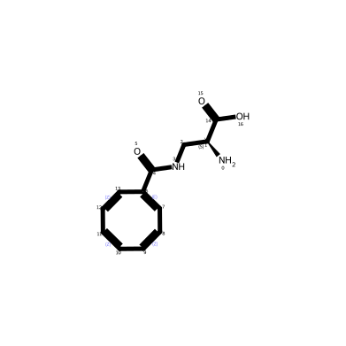 N[C@@H](CNC(=O)C1=C/C=C\C=C/C=C\1)C(=O)O